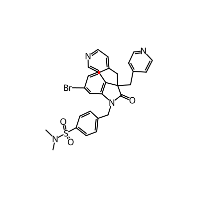 CN(C)S(=O)(=O)c1ccc(CN2C(=O)C(Cc3ccncc3)(Cc3ccncc3)c3ccc(Br)cc32)cc1